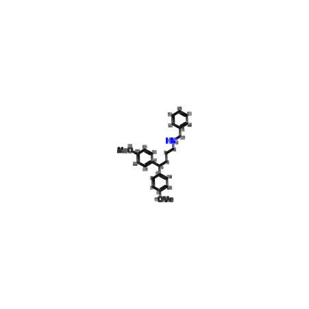 COc1ccc(C(CCCNCc2ccccc2)c2ccc(OC)cc2)cc1